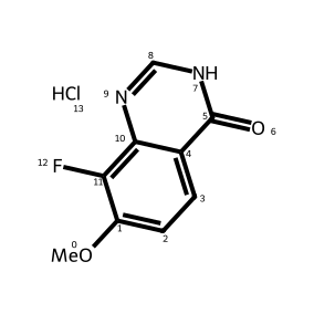 COc1ccc2c(=O)[nH]cnc2c1F.Cl